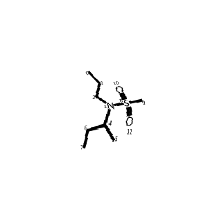 CCCN(C(C)CC)S(C)(=O)=O